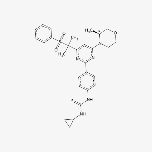 C[C@H]1COCCN1c1cc(C(C)(C)S(=O)(=O)c2ccccc2)nc(-c2ccc(NC(=S)NC3CC3)cc2)n1